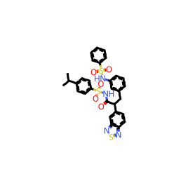 CC(C)c1ccc(S(=O)(=O)NC(=O)C(Cc2cccc(NS(=O)(=O)c3ccccc3)c2)c2ccc3nsnc3c2)cc1